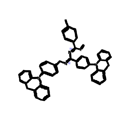 C=N/C(=N\C(=N/Cc1ccc(N2c3ccccc3Cc3ccccc32)cc1)c1ccc(N2c3ccccc3Cc3ccccc32)cc1)c1ccc(C)cc1